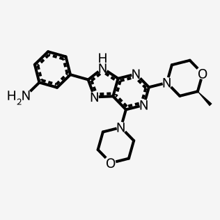 C[C@H]1CN(c2nc(N3CCOCC3)c3nc(-c4cccc(N)c4)[nH]c3n2)CCO1